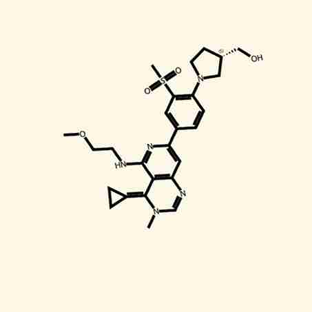 COCCNc1nc(-c2ccc(N3CC[C@H](CO)C3)c(S(C)(=O)=O)c2)cc2c1C(=C1CC1)N(C)C=N2